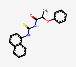 CC(Oc1ccccc1)C(=O)NC(=S)Nc1cccc2ccccc12